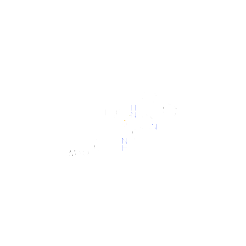 COc1ccc(CNc2ccc3nc(-c4ccccc4)c(-c4ccccc4)c(N[S+](C)[O-])c3c2)cc1